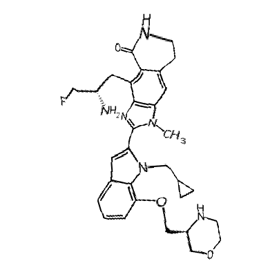 Cn1c(-c2cc3cccc(OC[C@@H]4COCCN4)c3n2CC2CC2)nc2c(C[C@H](N)CF)c3c(cc21)CCNC3=O